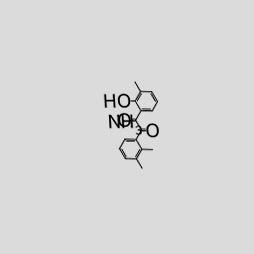 Cc1cccc(C(=O)C(=O)c2cccc(C)c2O)c1C.N